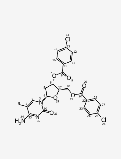 Cc1cn([C@H]2C[C@H](OC(=O)c3ccc(Cl)cc3)[C@@H](COC(=O)c3ccc(Cl)cc3)O2)c(=O)nc1N